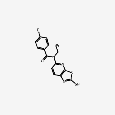 CC(C)CN(C(=O)c1ccc(F)cc1)c1ccc2nc(S)sc2n1